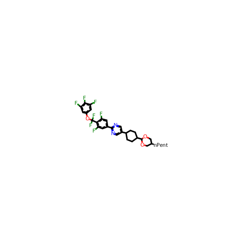 CCCCCC1COC(C2CCC(c3cnc(-c4cc(F)c(C(F)(F)Oc5cc(F)c(F)c(F)c5)c(F)c4)nc3)CC2)OC1